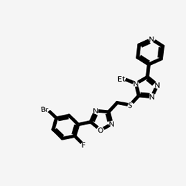 CCn1c(SCc2noc(-c3cc(Br)ccc3F)n2)nnc1-c1ccncc1